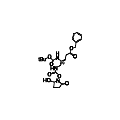 CC(C)(C)OC(=O)N[C@@H](CCC(=O)OCc1ccccc1)CNC(=O)ON1C(=O)CCC1O